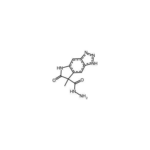 CC1(C(=O)NN)C(=O)Nc2cc3nn[nH]c3cc21